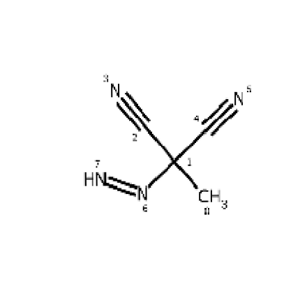 CC(C#N)(C#N)N=N